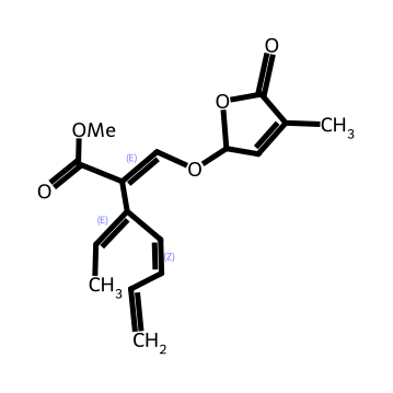 C=C\C=C/C(=C\C)C(=C\OC1C=C(C)C(=O)O1)/C(=O)OC